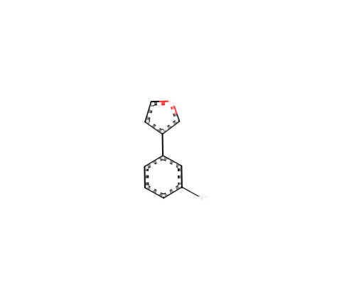 CC(C)c1cccc(-c2ccoc2)c1